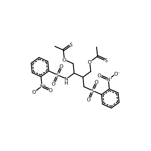 CC(=S)OCC(CS(=O)(=O)c1ccccc1[N+](=O)[O-])C(COC(C)=S)NS(=O)(=O)c1ccccc1[N+](=O)[O-]